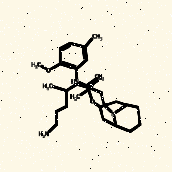 COc1ccc(C)cc1NC(=O)OC1CC2CCCC(C1)N2CCC(C)(C)CC(C)CCCN